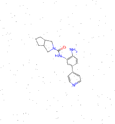 Nc1ccc(-c2ccncc2)cc1NC(=O)N1CC2CCCC2C1